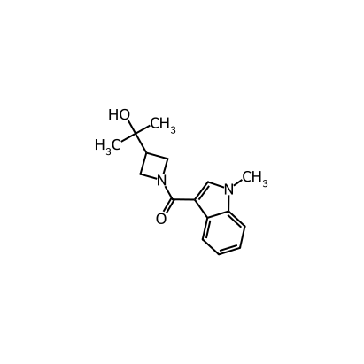 Cn1cc(C(=O)N2CC(C(C)(C)O)C2)c2ccccc21